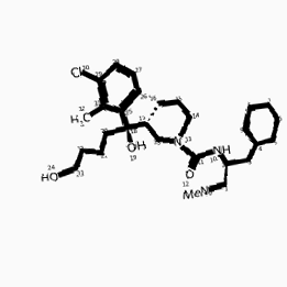 CNC[C@H](CC1CCCCC1)NC(=O)N1CCC[C@@H]([C@](O)(CCCCO)c2cccc(Cl)c2C)C1